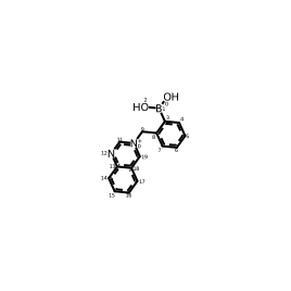 OB(O)c1ccccc1C[n+]1cnc2ccccc2c1